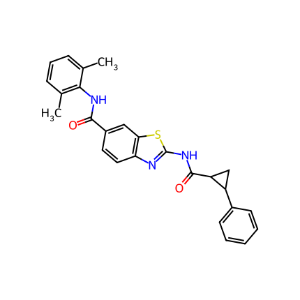 Cc1cccc(C)c1NC(=O)c1ccc2nc(NC(=O)C3CC3c3ccccc3)sc2c1